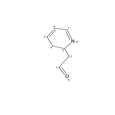 O=[C]CC1CC=CC=N1